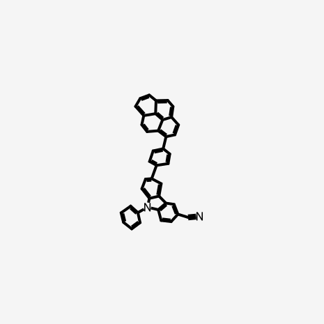 N#Cc1ccc2c(c1)c1cc(-c3ccc(-c4ccc5ccc6cccc7ccc4c5c67)cc3)ccc1n2-c1ccccc1